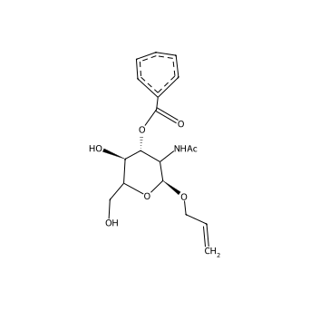 C=CCO[C@H]1OC(CO)[C@@H](O)[C@H](OC(=O)c2ccccc2)C1NC(C)=O